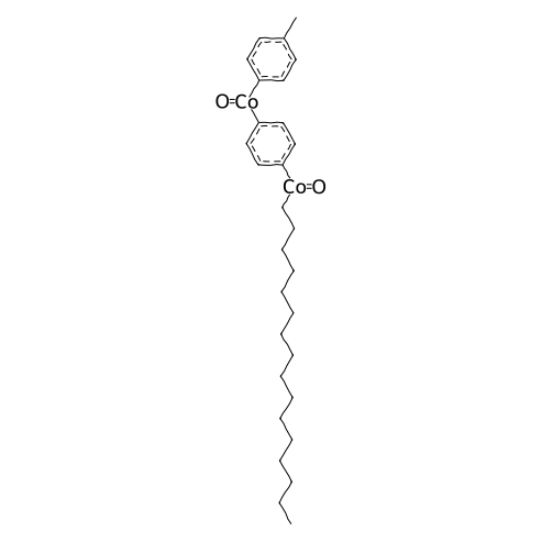 CCCCCCCCCCCCCCC[CH2][Co](=[O])[c]1cc[c]([Co](=[O])[c]2ccc(C)cc2)cc1